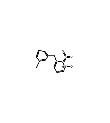 Cc1cccc(CC2=CC=C[NH+]([O-])C2=S(=O)=O)c1